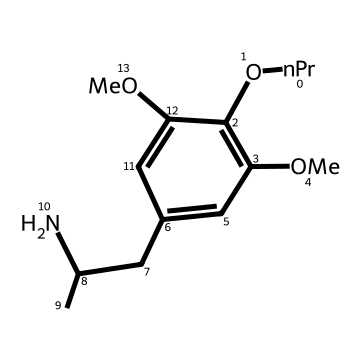 CCCOc1c(OC)cc(CC(C)N)cc1OC